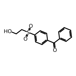 O=C(c1ccccc1)c1ccc(S(=O)(=O)CCO)cc1